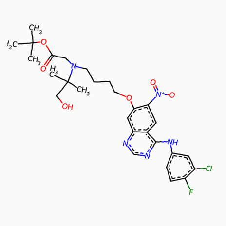 CC(C)(C)OC(=O)CN(CCCCOc1cc2ncnc(Nc3ccc(F)c(Cl)c3)c2cc1[N+](=O)[O-])C(C)(C)CO